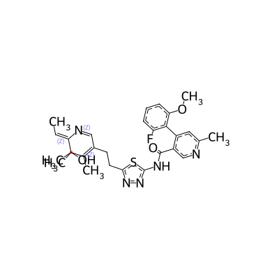 C\C=C(/N=C\C(CCc1nnc(NC(=O)c2cnc(C)cc2-c2c(F)cccc2OC)s1)=C(\C)CC)C(C)O